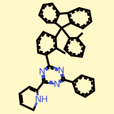 Cc1ccccc1C1(c2cccc(-c3nc(C4=CC=CCN4)nc(-c4ccccc4)n3)c2C)c2ccccc2-c2ccccc21